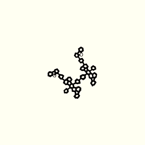 c1ccc(-c2c3cc4c5ccccc5c5cccc(c3c(-c3ccc(-c6ccc(-c7c8cc9c%10ccccc%10c%10cccc(c8c(-c8ccccc8)c8c%11ccc(-c%12ccc(-c%13cccc%14c%13oc%13ccccc%13%14)cc%12)c%12cccc(c78)c%12%11)c%109)cc6)cc3)c3c6cccc7c(-c8ccc(-c9cccc%10c9oc9ccccc9%10)cc8)ccc(c23)c76)c54)cc1